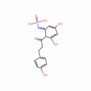 O=C(CCc1ccc(O)cc1)C1C(O)=CC(O)=C/C1=N\P(=O)(O)O